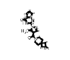 Cc1c(C(=O)N2CCC3(CC2)CC(F)C3)cnn1-c1nn2cccc2c(=O)[nH]1